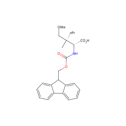 CCC[C@](C)(COC)[C@@H](NC(=O)OCC1c2ccccc2-c2ccccc21)C(=O)O